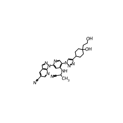 CC(C#N)Nc1cc(-n2ncc3cc(C#N)cnc32)ncc1-n1cc(C2CCC(O)(CCO)CC2)nn1